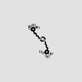 CCOc1cc(/C=C/CCCN2CCCN(CCC/C=C/c3cc(OCC)c(OCC)c(OCC)c3)CC2)cc(OCC)c1OCC